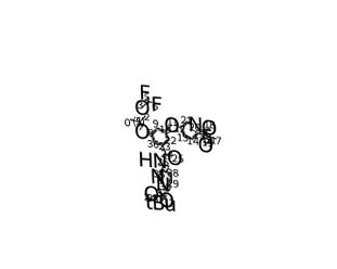 C[C@@H](COC(F)F)Oc1cc(Oc2ccc(S(C)(=O)=O)nc2)cc(C(=O)Nc2ccn(C(=O)OC(C)(C)C)n2)c1